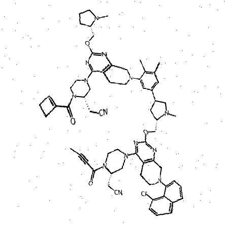 CC#CC(=O)N1CCN(c2nc(OC[C@@H]3CC(c4cc(C)c(C)c(N5CCc6c(nc(OC[C@@H]7CCCN7C)nc6N6CCN(C(=O)C7=CCC7)[C@@H](CC#N)C6)C5)c4)CN3C)nc3c2CCN(c2cccc4cccc(Cl)c24)C3)C[C@@H]1CC#N